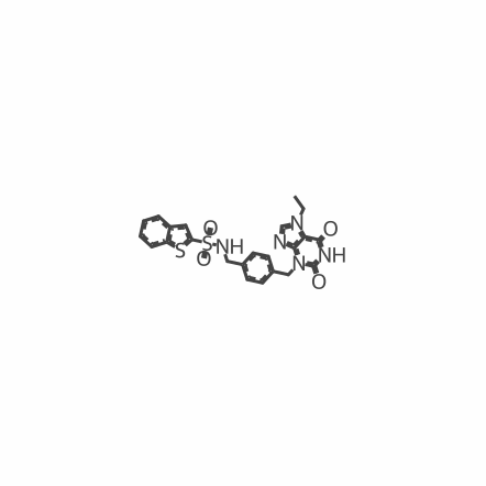 CCn1cnc2c1c(=O)[nH]c(=O)n2Cc1ccc(CNS(=O)(=O)c2cc3ccccc3s2)cc1